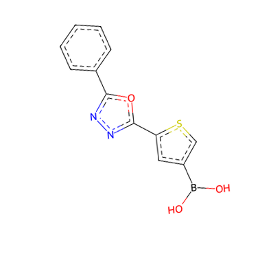 OB(O)c1csc(-c2nnc(-c3ccccc3)o2)c1